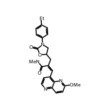 CCc1ccc(N2CC(CC(=Cc3ccnc4ccc(OC)nc34)C(=O)NC)OC2=O)cc1